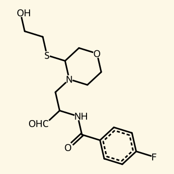 O=CC(CN1CCOCC1SCCO)NC(=O)c1ccc(F)cc1